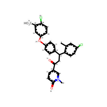 Cc1cc(Cl)ccc1C(CC(=O)c1ccc(=O)n(C)c1)c1ccc(Oc2ccc(Cl)c(C(=O)O)c2)cc1